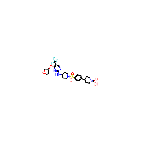 O=C(O)N1CC=C(c2ccc(S(=O)(=O)N3CCC(Nc4ncc(C(F)(F)F)c(OC5CCOC5)n4)CC3)cc2)CC1